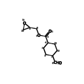 O=CC1CCC(C(=O)OCC2CO2)CC1